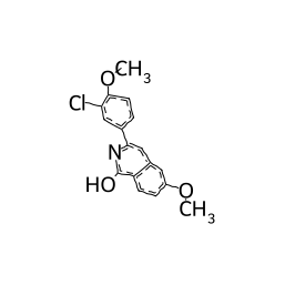 COc1ccc2c(O)nc(-c3ccc(OC)c(Cl)c3)cc2c1